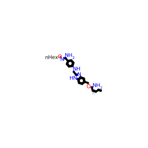 C=C/C=C\C(N)OCc1ccc2[nH]c(CNc3ccc(C(N)=NOCCCCCC)cc3)nc2c1